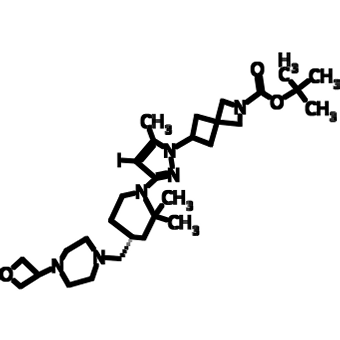 Cc1c(I)c(N2CC[C@@H](CN3CCN(C4COC4)CC3)CC2(C)C)nn1C1CC2(C1)CN(C(=O)OC(C)(C)C)C2